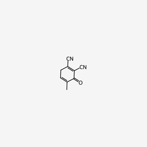 CC1=CCC(C#N)=C(C#N)C1=O